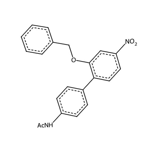 CC(=O)Nc1ccc(-c2ccc([N+](=O)[O-])cc2OCc2ccccc2)cc1